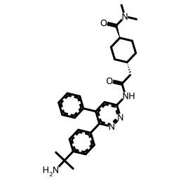 CN(C)C(=O)[C@H]1CC[C@H](CC(=O)Nc2cc(-c3ccccc3)c(-c3ccc(C(C)(C)N)cc3)nn2)CC1